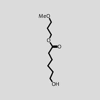 COCCCOC(=O)CCCCCO